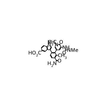 CNC(=O)Nc1cc(-c2c(-c3cn(C)c4ccc(C(=O)O)cc34)ccc(C(N)=O)c2C)cn(C)c1=O